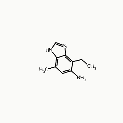 CCc1c(N)cc(C)c2[nH]cnc12